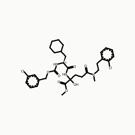 COC(=O)C(O)(CCC(=O)N(C)CCc1ccccc1Cl)NC(=O)[C@H](CC1CCCCC1)NC(=O)OCc1cccc(Cl)c1